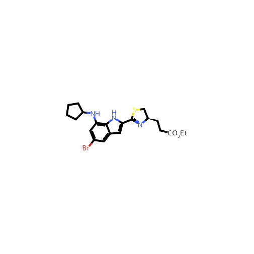 CCOC(=O)CC[C@@H]1CSC(c2cc3cc(Br)cc(NC4CCCC4)c3[nH]2)=N1